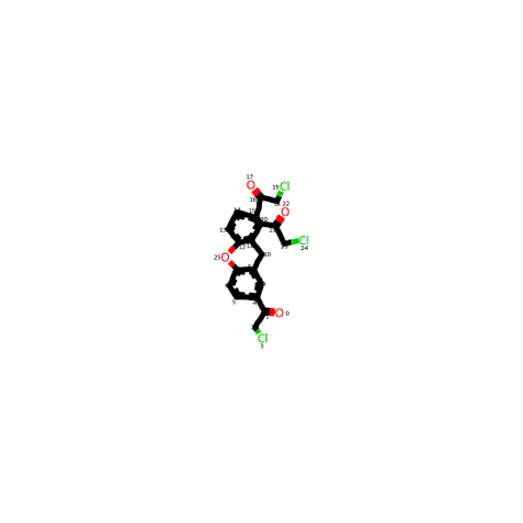 O=C(CCl)c1ccc2c(c1)Cc1c(ccc(C(=O)CCl)c1C(=O)CCl)O2